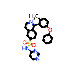 Cc1ccc(Oc2ccccc2)cc1-c1nccc2cc(S(=O)(=O)Nc3ccncn3)ccc12